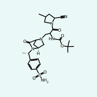 CC1CC(C#N)N(C(=O)C(CN2C[C@@H]3CC2C(=O)N3[C@@H](C)c2ccc(S(N)(=O)=O)cc2)NC(=O)OC(C)(C)C)C1